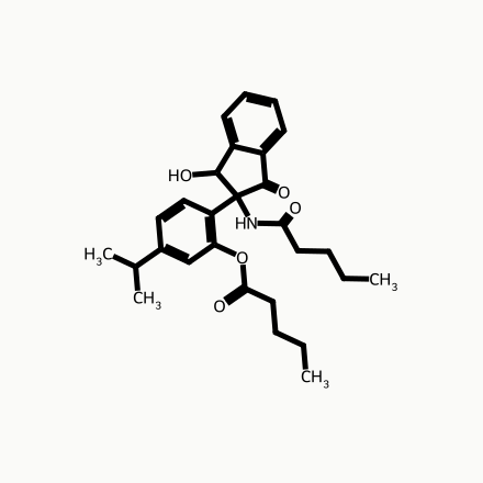 CCCCC(=O)NC1(c2ccc(C(C)C)cc2OC(=O)CCCC)C(=O)c2ccccc2C1O